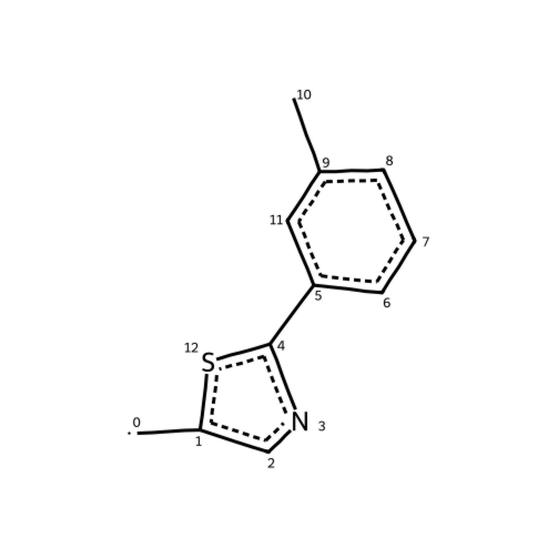 [CH2]c1cnc(-c2cccc(C)c2)s1